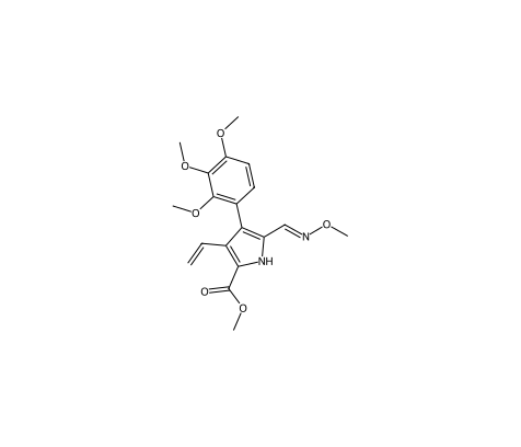 C=Cc1c(C(=O)OC)[nH]c(/C=N/OC)c1-c1ccc(OC)c(OC)c1OC